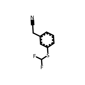 N#CCc1cccc(SC(F)F)c1